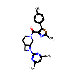 Cc1ccc(-c2sc(C)nc2C(=O)N2CCC3CN(c4nc(C)cc(C)n4)C3C2)cc1